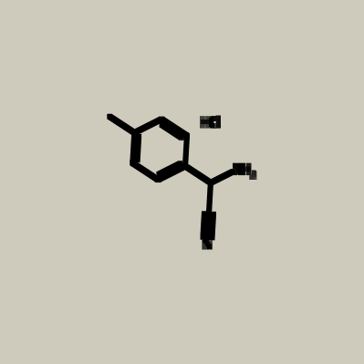 Cc1ccc(C(N)C#N)cc1.Cl